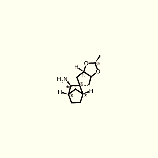 C[C@H]1OC2C[C@]3(C[C@@H]2O1)[C@@H]1CC[C@@H](C1)[C@H]3N